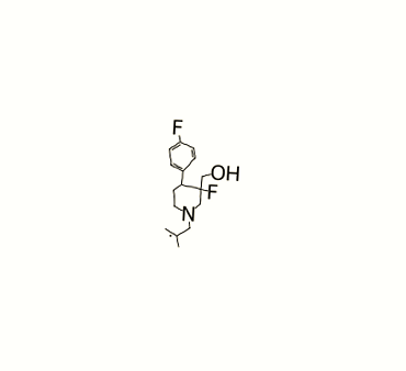 C[C](C)CN1CCC(c2ccc(F)cc2)C(F)(CO)C1